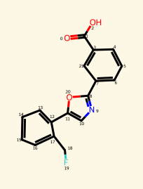 O=C(O)c1cccc(-c2ncc(-c3ccccc3CF)o2)c1